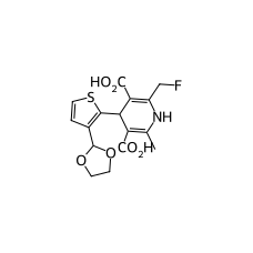 CC1=C(C(=O)O)C(c2sccc2C2OCCO2)C(C(=O)O)=C(CF)N1